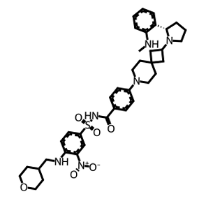 CNc1ccccc1[C@@H]1CCCN1C1CC2(CCN(c3ccc(C(=O)NS(=O)(=O)c4ccc(NCC5CCOCC5)c([N+](=O)[O-])c4)cc3)CC2)C1